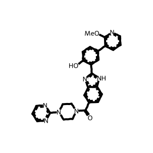 COc1ncccc1-c1ccc(O)c(-c2nc3cc(C(=O)N4CCN(c5ncccn5)CC4)ccc3[nH]2)c1